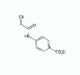 CCOC(=O)c1ccc(NC(=O)CC#N)cc1